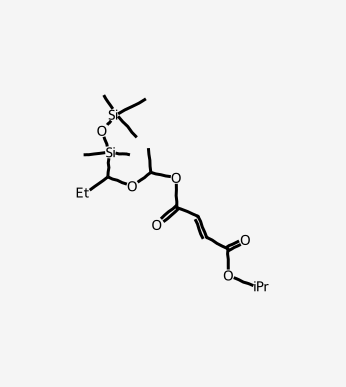 CCC(OC(C)OC(=O)/C=C/C(=O)OC(C)C)[Si](C)(C)O[Si](C)(C)C